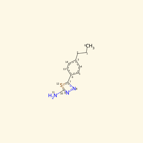 CCCc1ccc(-c2nnc(N)s2)cc1